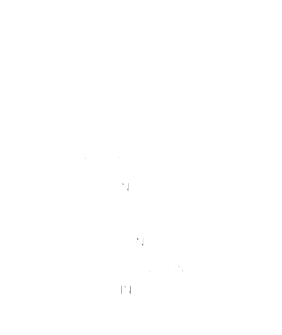 [NH]C(=O)N1CCN(C(=O)CCc2ccccc2)CC1